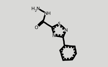 NNC(=O)c1nc(-c2ccccc2)ns1